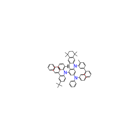 Cc1ccc(-c2ccccc2)cc1N1c2cc3c(cc2B2c4ccc(-c5ccccc5)cc4N(c4ccc(C(C)(C)C)cc4-c4ccccc4)c4cc(N(c5ccccc5)c5ccccc5)cc1c42)C(C)(C)CCC3(C)C